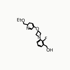 CCOCC1CC=C(OC2CN(c3cccc(CO)c3F)C2)C=N1